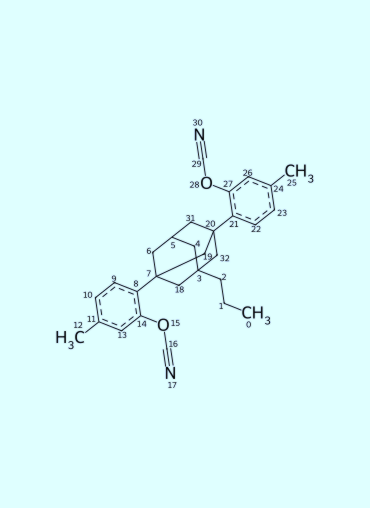 CCCC12CC3CC(c4ccc(C)cc4OC#N)(C1)CC(c1ccc(C)cc1OC#N)(C3)C2